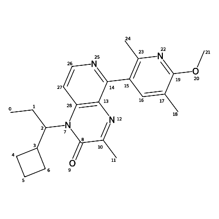 CCC(C1CCC1)n1c(=O)c(C)nc2c(-c3cc(C)c(OC)nc3C)nccc21